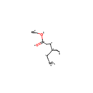 CC(CC(=O)OC(C)(C)C)C[N+](=O)[O-]